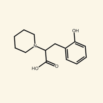 O=C(O)C(Cc1ccccc1O)N1CCCCC1